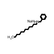 CCCCCCCCCCCCNCc1ccccc1.[NaH]